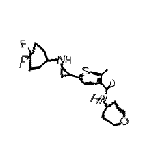 Cc1sc(C2CC2NC2CCC(F)(F)CC2)cc1C(=O)NC1CCOCC1